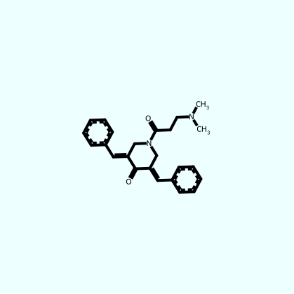 CN(C)CCC(=O)N1C/C(=C\c2ccccc2)C(=O)/C(=C/c2ccccc2)C1